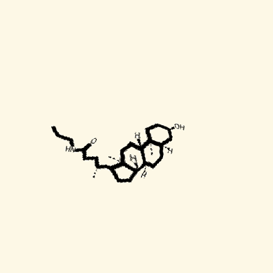 CCCNC(=O)CC[C@@H](C)C1CC[C@H]2[C@@H]3CC[C@@H]4C[C@H](O)CC[C@]4(C)[C@H]3CC[C@]12C